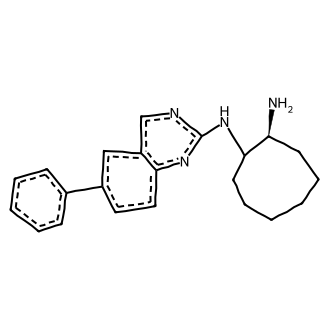 N[C@H]1CCCCCCC1Nc1ncc2cc(-c3ccccc3)ccc2n1